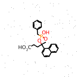 CC(CCC(=O)O)(OP(=O)(O)Cc1ccccc1)c1cccc2ccccc12